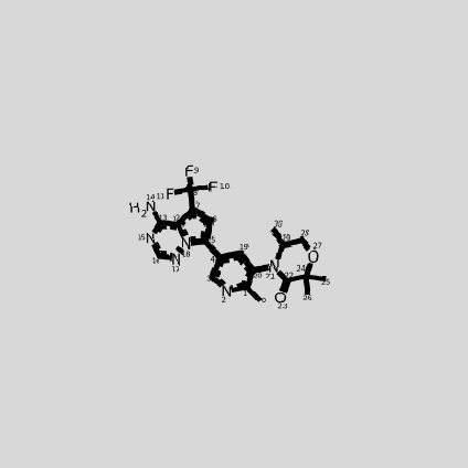 Cc1ncc(-c2cc(C(F)(F)F)c3c(N)ncnn23)cc1N1C(=O)C(C)(C)OCC1C